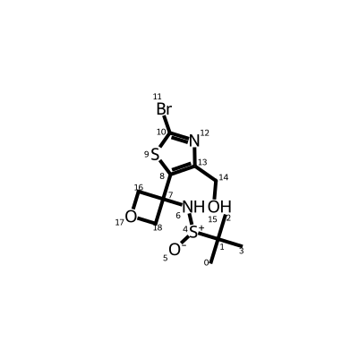 CC(C)(C)[S+]([O-])NC1(c2sc(Br)nc2CO)COC1